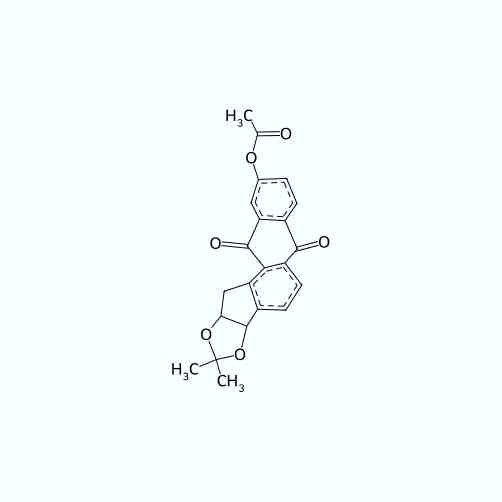 CC(=O)Oc1ccc2c(c1)C(=O)c1c(ccc3c1CC1OC(C)(C)OC31)C2=O